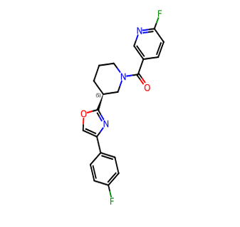 O=C(c1ccc(F)nc1)N1CCC[C@H](c2nc(-c3ccc(F)cc3)co2)C1